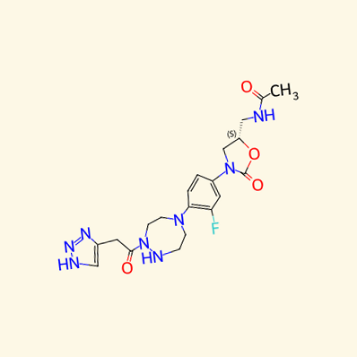 CC(=O)NC[C@H]1CN(c2ccc(N3CCNN(C(=O)Cc4c[nH]nn4)CC3)c(F)c2)C(=O)O1